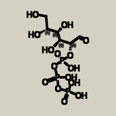 O=C[C@H](OP(=O)(O)OP(=O)(O)OP(=O)(O)O)[C@@H](O)[C@H](O)[C@H](O)CO